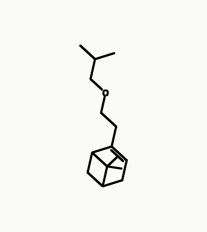 CC(C)COCCC1=CCC2CC1C2(C)C